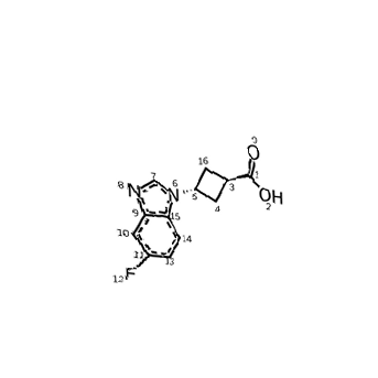 O=C(O)[C@H]1C[C@H](n2cnc3cc(F)ccc32)C1